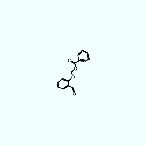 O=[C]c1ccccc1OCOC(=O)c1ccccc1